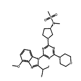 COc1cccc2c1nc(C(F)F)n2-c1nc(N2CCOCC2)nc(N2CC[C@@H](N(C)S(C)(=O)=O)C2)n1